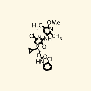 COc1nc(C)c(Nc2nc(Cl)cn([C@@H](COC(=O)Nc3ccccc3Cl)C3CC3)c2=O)cc1C